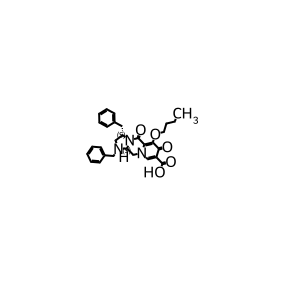 CCCCOc1c2n(cc(C(=O)O)c1=O)C[C@H]1N(Cc3ccccc3)C[C@H](Cc3ccccc3)N1C2=O